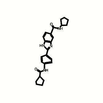 O=C(NC1CCCC1)c1ccc2[nH]c(-c3ccc(NC(=O)C4CCCC4)cc3)nc2c1